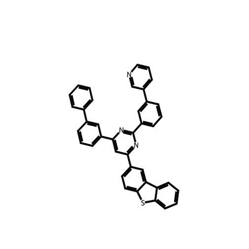 c1ccc(-c2cccc(-c3cc(-c4ccc5sc6ccccc6c5c4)nc(-c4cccc(-c5cccnc5)c4)n3)c2)cc1